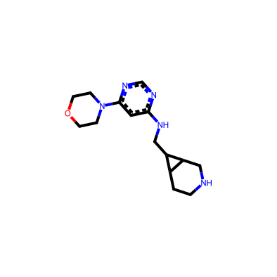 c1nc(NCC2C3CCNCC32)cc(N2CCOCC2)n1